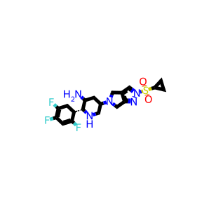 NC1CC(N2Cc3cn(S(=O)(=O)C4CC4)nc3C2)CN[C@@H]1C1CC(F)=C(F)C=C1F